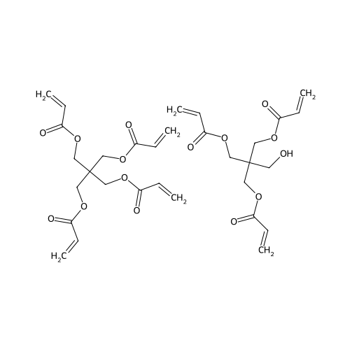 C=CC(=O)OCC(CO)(COC(=O)C=C)COC(=O)C=C.C=CC(=O)OCC(COC(=O)C=C)(COC(=O)C=C)COC(=O)C=C